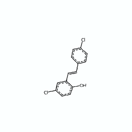 Oc1ccc(Cl)cc1/C=C/c1ccc(Cl)cc1